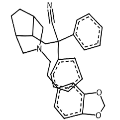 N#CC(CC1C2CCC1CN(CCc1ccc3c(c1)OCO3)C2)(c1ccccc1)c1ccccc1